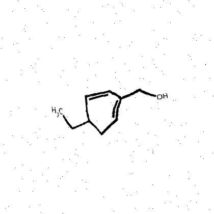 CCC1C=CC(CO)=CC1